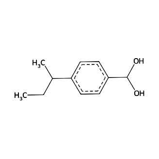 CCC(C)c1ccc(C(O)O)cc1